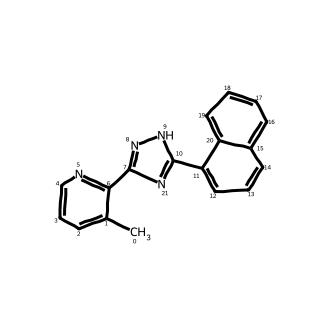 Cc1cccnc1-c1n[nH]c(-c2cccc3ccccc23)n1